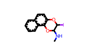 CNC1Oc2c(ccc3ccccc23)OC1I